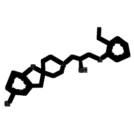 CCc1ccccc1OC[C@@H](O)CN1CCC2(CC1)Cc1cc(Cl)ccc1O2